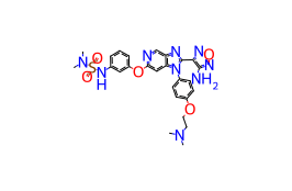 CN(C)CCOc1ccc(-n2c(-c3nonc3N)nc3cnc(Oc4cccc(NS(=O)(=O)N(C)C)c4)cc32)cc1